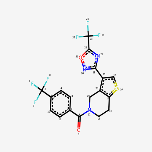 O=C(c1ccc(C(F)(F)F)cc1)N1CCc2scc(-c3noc(C(F)(F)F)n3)c2C1